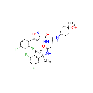 CC1(O)CCC(N2CC(CC(=O)NC(C)(C)c3cc(F)cc(Cl)c3)(NC(=O)c3cc(-c4ccc(F)cc4F)on3)C2)CC1